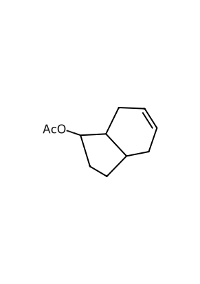 CC(=O)OC1CCC2CC=CCC21